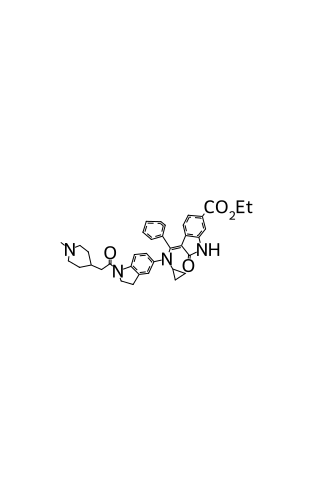 CCOC(=O)c1ccc2c(c1)NC(=O)/C2=C(/c1ccccc1)N(c1ccc2c(c1)CCN2C(=O)CC1CCN(C)CC1)C1CC1